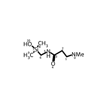 CNCCC(=O)NC[Si](C)(C)O